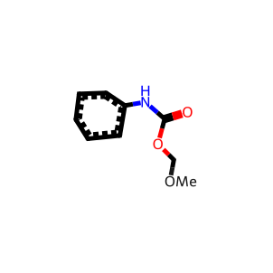 COCOC(=O)Nc1ccccc1